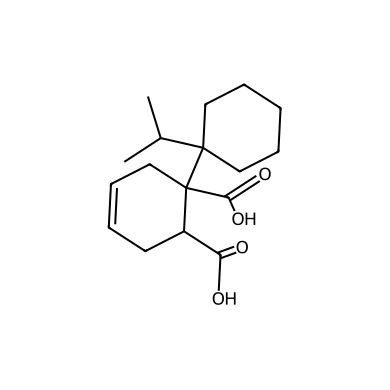 CC(C)C1(C2(C(=O)O)CC=CCC2C(=O)O)CCCCC1